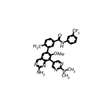 COc1c(-c2cc(C(=O)Nc3cccc(C(F)(F)F)c3)ccc2C)cc2cnc(N)nc2c1-c1cnc(N(C)C)nc1